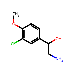 COc1ccc(C(O)CN)cc1Cl